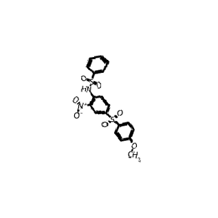 COc1ccc(S(=O)(=O)c2ccc(NS(=O)(=O)c3ccccc3)c([N+](=O)[O-])c2)cc1